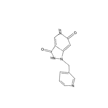 O=c1cc2c(c[nH]1)c(=O)[nH]n2Cc1cccnc1